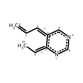 C=C/C=c1/cncn/c1=C/C